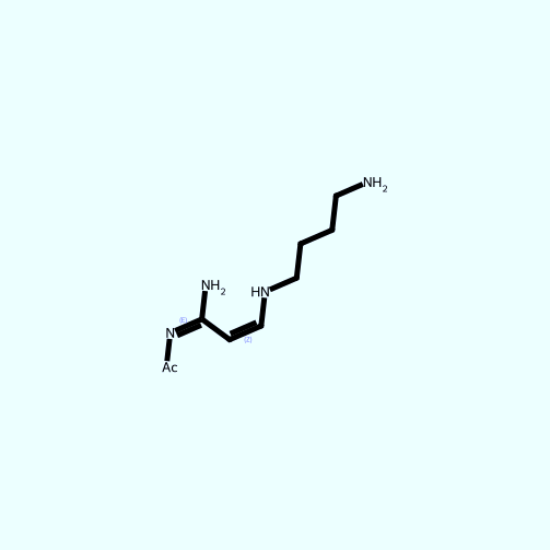 CC(=O)/N=C(N)\C=C/NCCCCN